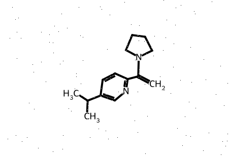 C=C(c1ccc(C(C)C)cn1)N1CCCC1